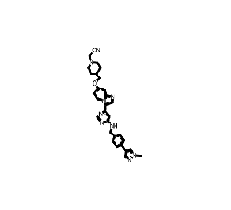 Cn1cc(-c2ccc(CNc3cc(-c4cnc5cc(OCC6CCN(CC#N)CC6)ccn45)ncn3)cc2)cn1